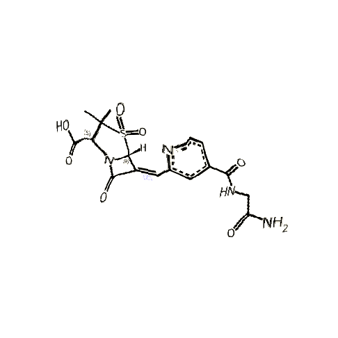 CC1(C)[C@H](C(=O)O)N2C(=O)/C(=C/c3cc(C(=O)NCC(N)=O)ccn3)[C@H]2S1(=O)=O